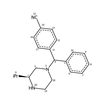 CC(C)[C@H]1CN(C(c2ccccc2)c2ccc(C#N)cc2)CCN1